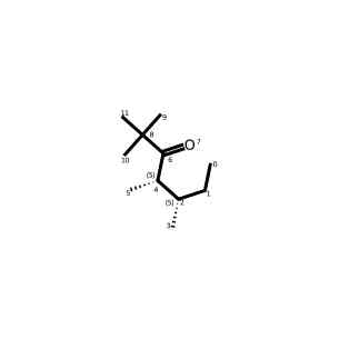 CC[C@H](C)[C@H](C)C(=O)C(C)(C)C